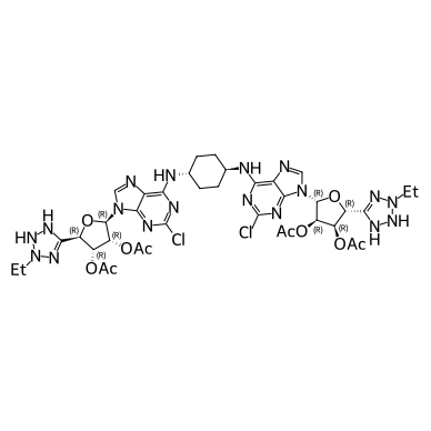 CCN1N=C([C@H]2O[C@@H](n3cnc4c(N[C@H]5CC[C@H](Nc6nc(Cl)nc7c6ncn7[C@@H]6O[C@H](C7=NN(CC)NN7)[C@@H](OC(C)=O)[C@H]6OC(C)=O)CC5)nc(Cl)nc43)[C@H](OC(C)=O)[C@@H]2OC(C)=O)NN1